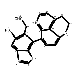 Cc1cc2ncsc2c(-c2ccc3c4c(ccnc24)CCO3)c1CC=O